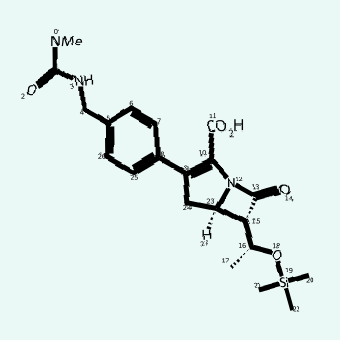 CNC(=O)NCc1ccc(C2=C(C(=O)O)N3C(=O)[C@H]([C@@H](C)O[Si](C)(C)C)[C@H]3C2)cc1